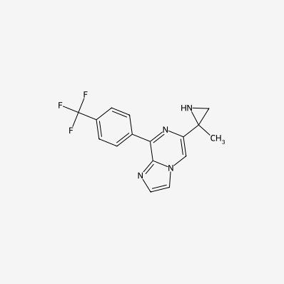 CC1(c2cn3ccnc3c(-c3ccc(C(F)(F)F)cc3)n2)CN1